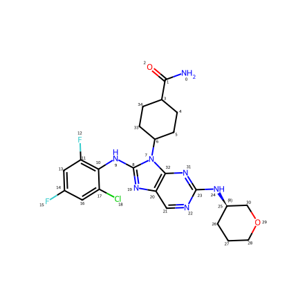 NC(=O)C1CCC(n2c(Nc3c(F)cc(F)cc3Cl)nc3cnc(N[C@@H]4CCCOC4)nc32)CC1